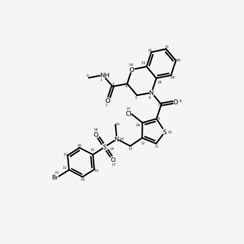 CNC(=O)C1CN(C(=O)c2scc(CN(C)S(=O)(=O)c3ccc(Br)cc3)c2Cl)c2ccccc2O1